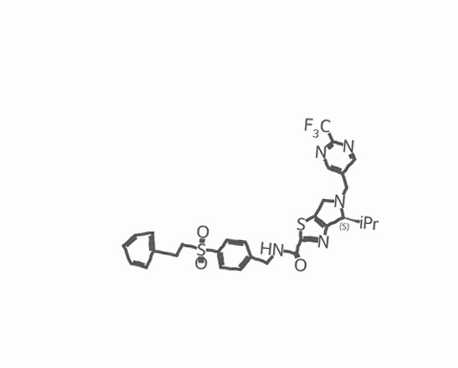 CC(C)[C@H]1c2nc(C(=O)NCc3ccc(S(=O)(=O)CCc4ccccc4)cc3)sc2CN1Cc1cnc(C(F)(F)F)nc1